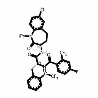 CC(C)N1C(=O)[C@H](NC(=O)[C@@H](Cc2ccccc2OC(F)(F)F)NC(=O)c2ccc(F)cc2C(F)(F)F)CCc2cc(Cl)ccc21